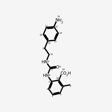 Cc1cccc(NC(=O)NCCc2ccc(N)cc2)c1C(=O)O